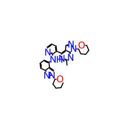 Cc1nc(-c2cccnc2Nc2cccc3nn(C4CCCCO4)cc23)c2cnn(C3CCCCO3)c2n1